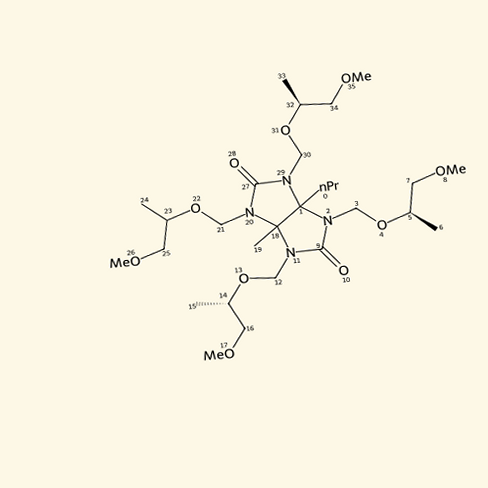 CCCC12N(CO[C@H](C)COC)C(=O)N(CO[C@@H](C)COC)C1(C)N(COC(C)COC)C(=O)N2CO[C@@H](C)COC